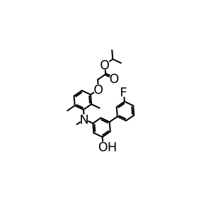 Cc1ccc(OCC(=O)OC(C)C)c(C)c1N(C)c1cc(O)cc(-c2cccc(F)c2)c1